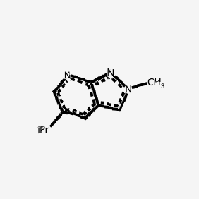 CC(C)c1cnc2nn(C)cc2c1